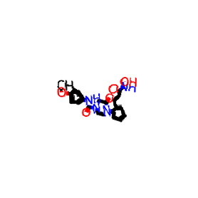 COc1ccc(NC(=O)N2CCN(c3ccccc3C=CC(=O)NO)C(=O)C2)cc1